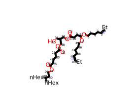 CC/C=C\CCCCOC(CCC(=O)OCC(CO)COC(=O)CCCCC(=O)OCCC(CCCCCC)CCCCCC)OCCCC/C=C\CC